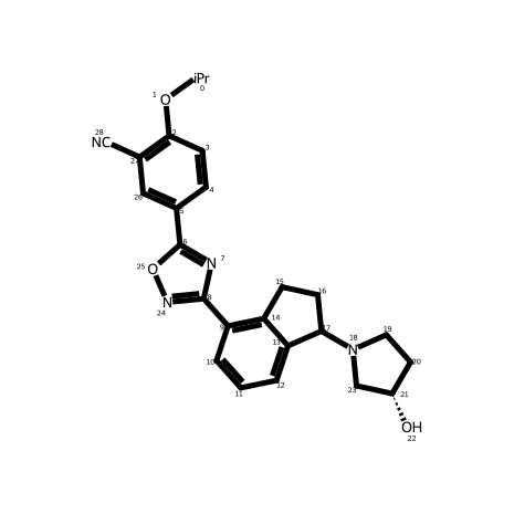 CC(C)Oc1ccc(-c2nc(-c3cccc4c3CCC4N3CC[C@H](O)C3)no2)cc1C#N